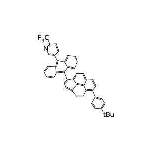 CC(C)(C)c1ccc(-c2ccc3ccc4c(-c5c6ccccc6c(-c6ccc(C(F)(F)F)nc6)c6ccccc56)ccc5ccc2c3c54)cc1